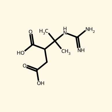 CC(C)(NC(=N)N)C(CC(=O)O)C(=O)O